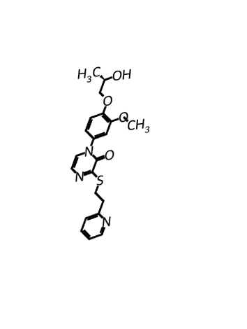 COc1cc(-n2ccnc(SCCc3ccccn3)c2=O)ccc1OC[C@@H](C)O